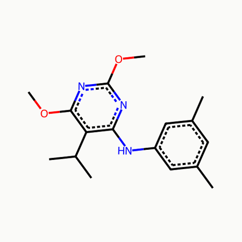 COc1nc(Nc2cc(C)cc(C)c2)c(C(C)C)c(OC)n1